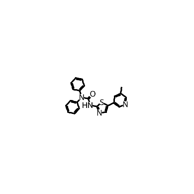 Cc1cncc(-c2cnc(NC(=O)N(c3ccccc3)c3ccccc3)s2)c1